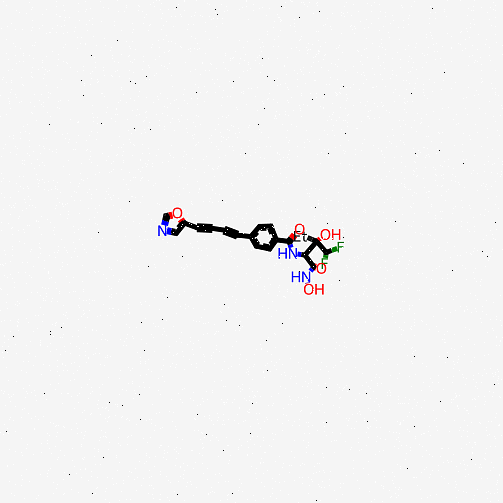 CCC(O)(C(F)F)C(NC(=O)c1ccc(C#CC#Cc2cnco2)cc1)C(=O)NO